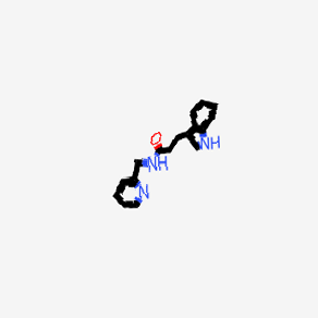 O=C(CCc1c[nH]c2ccccc12)NCc1ccccn1